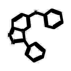 c1ccc(Sc2ccc3nnc(-c4ccccc4)n3c2)cc1